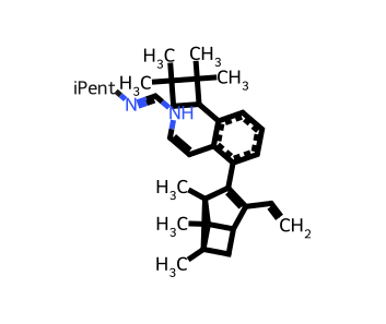 C=CC1=C(c2cccc(C3CC(C)(C)C3(C)C)c2/C=C\N/C=N/C(C)CCC)C2(C)C3(C)CC1C32C